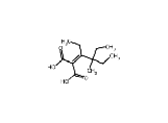 CCC(=C(C(=O)O)C(=O)O)C(C)(CC)CC